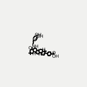 CC1(C)CC[C@]2(C(=O)NCCCN3CCS(O)(O)CC3)CC[C@]3(C)C(=CC[C@@H]4[C@@]5(C)CC=C(c6ccc(C(=O)O)cc6)C(C)(C)[C@@H]5CC[C@]43C)[C@@H]2C1